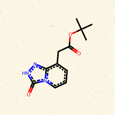 CC(C)(C)OC(=O)Cc1cccn2c(=O)[nH]nc12